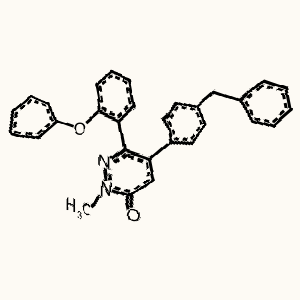 Cn1nc(-c2ccccc2Oc2ccccc2)c(-c2ccc(Cc3ccccc3)cc2)cc1=O